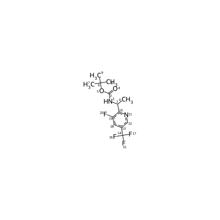 CC(NC(=O)OC(C)(C)C)c1ncc(C(F)(F)F)cc1F